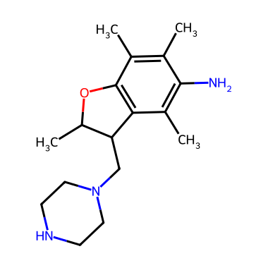 Cc1c(C)c2c(c(C)c1N)C(CN1CCNCC1)C(C)O2